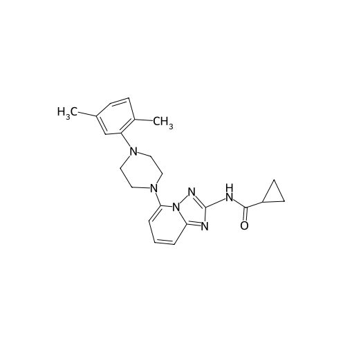 Cc1ccc(C)c(N2CCN(c3cccc4nc(NC(=O)C5CC5)nn34)CC2)c1